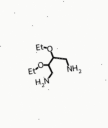 CCOC(CN)C(CN)OCC